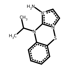 CC(C)N1c2ccccc2Sn2cc[n+](N)c21